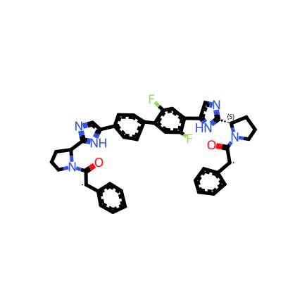 O=C([CH]c1ccccc1)N1CCCC1c1ncc(-c2ccc(-c3cc(F)c(-c4cnc([C@@H]5CCCN5C(=O)[CH]c5ccccc5)[nH]4)cc3F)cc2)[nH]1